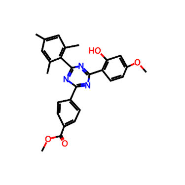 COC(=O)c1ccc(-c2nc(-c3ccc(OC)cc3O)nc(-c3c(C)cc(C)cc3C)n2)cc1